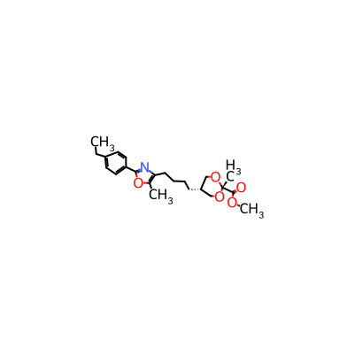 CCc1ccc(-c2nc(CCCC[C@H]3CO[C@@](C)(C(=O)OC)OC3)c(C)o2)cc1